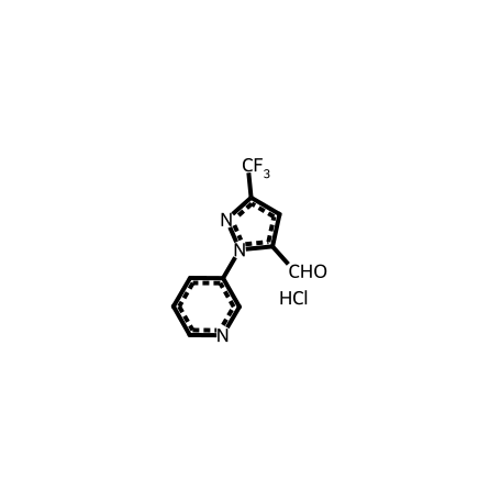 Cl.O=Cc1cc(C(F)(F)F)nn1-c1cccnc1